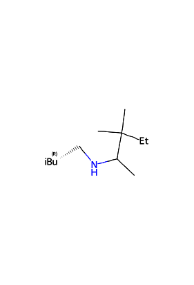 CC[C@@H](C)CNC(C)C(C)(C)CC